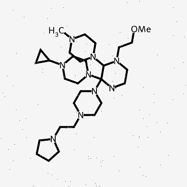 COCCN1CC[N]C(N2CCN(CCN3CCCC3)CC2)(N2CCN(C3CC3)CC2)C1N1CCN(C)CC1